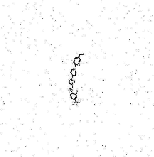 CCc1cnc(N2CCC(c3nc(CNc4ccc(S(C)(=O)=O)cc4F)cs3)CC2)nc1